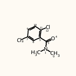 CN(C)C(=O)c1cc(Cl)ccc1Cl